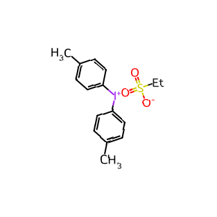 CCS(=O)(=O)[O-].Cc1ccc([I+]c2ccc(C)cc2)cc1